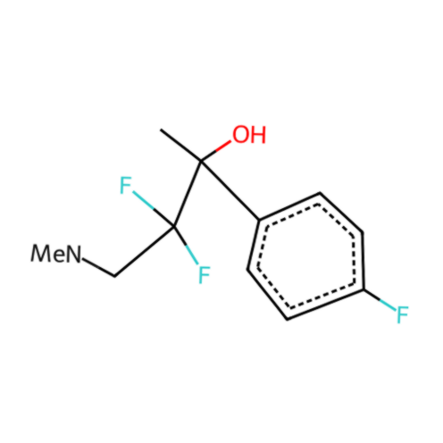 CNCC(F)(F)C(C)(O)c1ccc(F)cc1